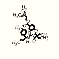 CCCC(NC(=O)N1C(=O)C(CC)(CC)C1Oc1ccc(C(=O)OCCN(CC)CC)cc1)c1ccc(C)cc1